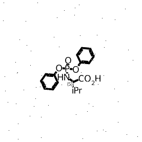 CC(C)[C@H](NP(=O)(Oc1ccccc1)Oc1ccccc1)C(=O)O